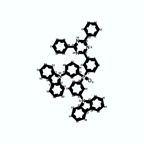 O=P(c1cccc(-c2nc(-c3ccccc3)nc(-c3ccccc3)n2)c1)(c1cccc(-n2c3ccccc3c3ccccc32)c1)c1cccc(-n2c3ccccc3c3ccccc32)c1